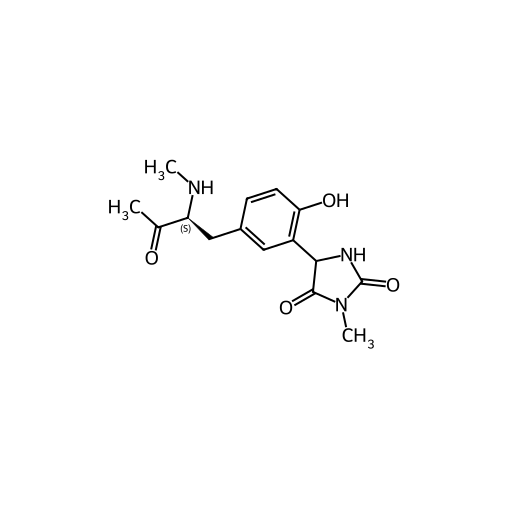 CN[C@@H](Cc1ccc(O)c(C2NC(=O)N(C)C2=O)c1)C(C)=O